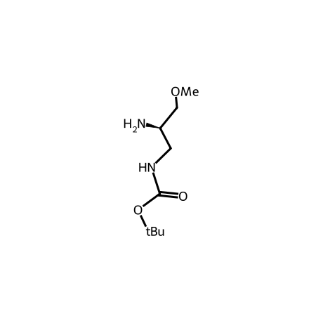 COC[C@H](N)CNC(=O)OC(C)(C)C